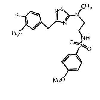 COc1ccc(S(=O)(=O)NCCN(C)c2nc(Cc3ccc(F)c(C)c3)ns2)cc1